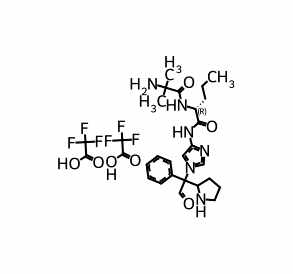 CCC[C@@H](NC(=O)C(C)(C)N)C(=O)Nc1cn(C(C=O)(c2ccccc2)C2CCCN2)cn1.O=C(O)C(F)(F)F.O=C(O)C(F)(F)F